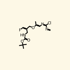 C=N/C(Cl)=N\C=C(/C)OC/C(=C/F)CNC(=O)OC(C)(C)C